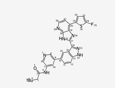 CC(C)(C)CC(=O)Nc1cncc(-c2ccc3[nH]nc(-c4nc5c(-c6ccc(F)s6)ccnc5[nH]4)c3c2)c1